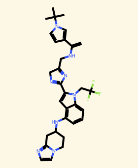 C=C(NCC1=NC(c2cc3c(NC4CCn5ccnc5C4)cccc3n2CC(F)(F)F)=NC1)c1ccn(C(C)(C)C)c1